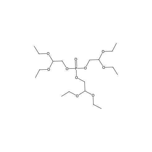 CCOC(COP(=O)(OCC(OCC)OCC)OCC(OCC)OCC)OCC